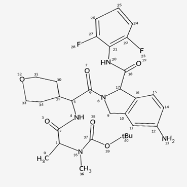 CC(C(=O)NC(C(=O)N1Cc2cc(N)ccc2C1C(=O)Nc1c(F)cccc1F)C1CCOCC1)N(C)C(=O)OC(C)(C)C